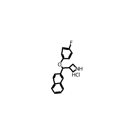 Cl.Fc1ccc(OC(c2ccc3ccccc3c2)C2CNC2)cc1